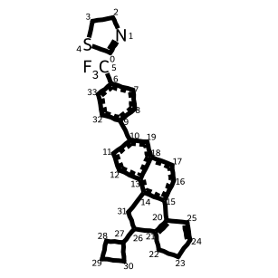 C1=NCCS1.FC(F)(F)c1ccc(-c2ccc3c4c(ccc3c2)C2=C(CCC=C2)C(C2CCC2)C4)cc1